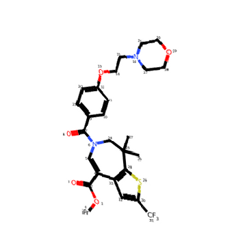 CC(C)OC(=O)C1=CN(C(=O)c2ccc(OCCN3CCOCC3)cc2)CC(C)(C)c2sc(C(F)(F)F)cc21